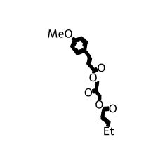 CC/C=C/C(=O)OCC(=O)COC(=O)/C=C/c1ccc(OC)cc1